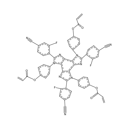 C=CC(=O)Oc1ccc(-n2c(-c3ccc(C#N)cc3F)nc3c2c2nc(-c4ccc(C#N)cc4F)n(-c4ccc(OC(=O)C=C)cc4)c2c2nc(-c4ccc(C#N)cc4F)n(-c4ccc(OC(=O)C=C)cc4)c32)cc1